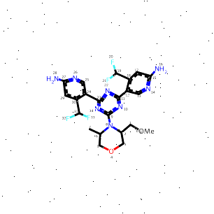 COCC1COCC(C)N1c1nc(-c2cnc(N)cc2C(F)F)nc(-c2cnc(N)cc2C(F)F)n1